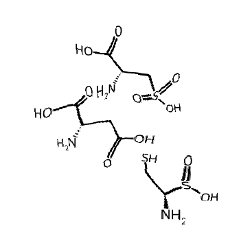 N[C@@H](CC(=O)O)C(=O)O.N[C@@H](CS(=O)(=O)O)C(=O)O.N[C@@H](CS)S(=O)O